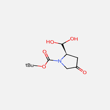 CC(C)(C)OC(=O)N1CC(=O)C[C@@H]1C(O)O